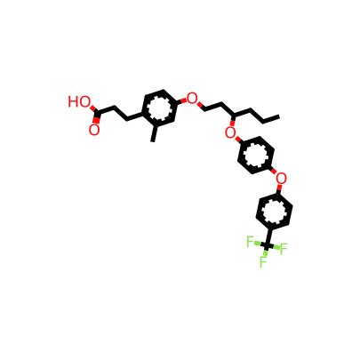 CCCC(CCOc1ccc(CCC(=O)O)c(C)c1)Oc1ccc(Oc2ccc(C(F)(F)F)cc2)cc1